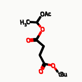 CC(=O)OC(C)OC(=O)CCC(=O)OC(C)(C)C